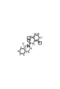 C[C@H]1c2ccccc2CCN1C(=O)Cc1c(Cl)cccc1Cl